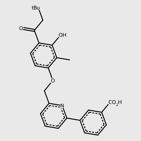 Cc1c(OCc2cccc(-c3cccc(C(=O)O)c3)n2)ccc(C(=O)CC(C)(C)C)c1O